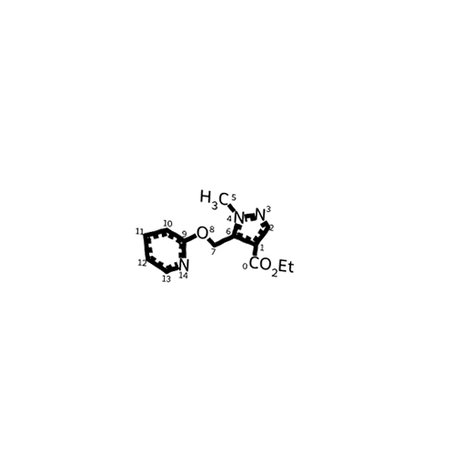 CCOC(=O)c1cnn(C)c1COc1ccccn1